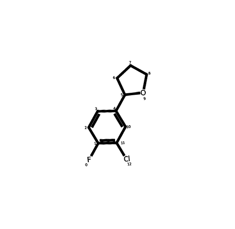 Fc1ccc(C2[CH]CCO2)cc1Cl